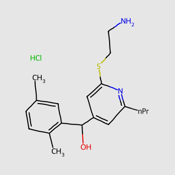 CCCc1cc(C(O)c2cc(C)ccc2C)cc(SCCN)n1.Cl